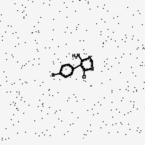 Nc1ncnc(Cl)c1-c1ccc(Br)cc1